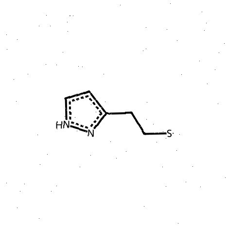 [S]CCc1cc[nH]n1